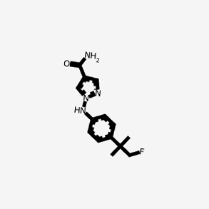 CC(C)(CF)c1ccc(Nn2cc(C(N)=O)cn2)cc1